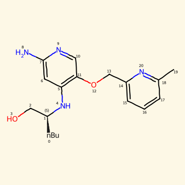 CCCC[C@@H](CO)Nc1cc(N)ncc1OCc1cccc(C)n1